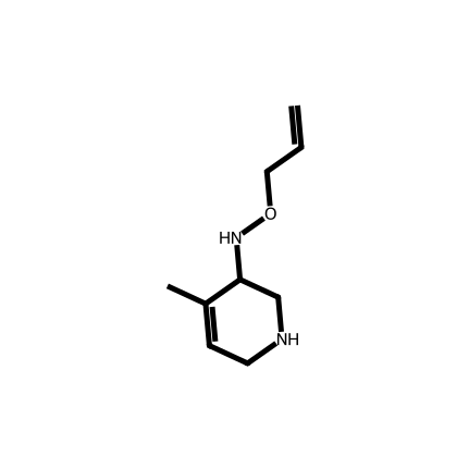 C=CCONC1CNCC=C1C